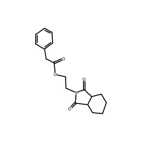 O=C(Cc1ccccc1)OCCN1C(=O)C2CCCCC2C1=O